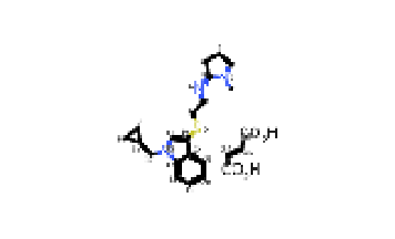 CN1CCCC1=NCCSc1cn(CC2CC2)c2ccccc12.O=C(O)C=CC(=O)O